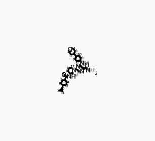 C[C@@H]1[C@H](NC(=O)c2ccc(C3CC3)cc2)CCCN1c1cnc(C(N)=O)c(Nc2ccc(C3CCOCC3)cc2)n1